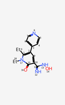 CCc1c(-c2ccncc2)cc(C(=N)NO)c(=O)n1CC